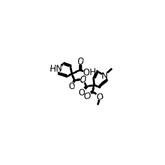 COC(=O)C1(C(=O)OC(=O)C2(C(=O)O)C=CNC=C2)C=CN(C)C=C1